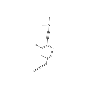 C[Si](C)(C)C#Cc1ccc(N=C=S)cc1Cl